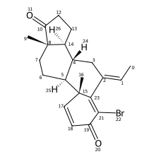 C/C=C1\C[C@@H]2[C@H](CC[C@]3(C)C(=O)CC[C@@H]23)[C@@]2(C)C=CC(=O)C(Br)=C12